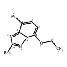 CC(C)c1ccc(OCC(F)(F)F)n2nc(Br)nc12